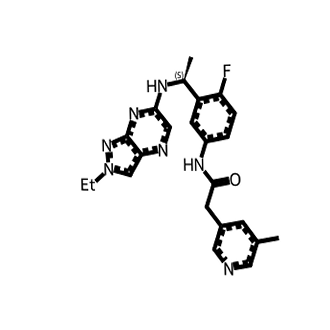 CCn1cc2ncc(N[C@@H](C)c3cc(NC(=O)Cc4cncc(C)c4)ccc3F)nc2n1